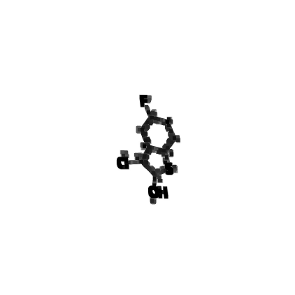 Oc1sc2ccc(F)cc2c1Cl